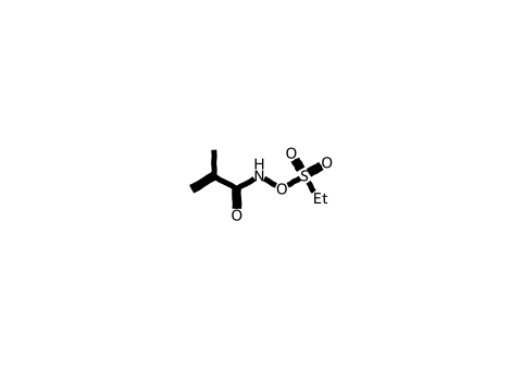 C=C(C)C(=O)NOS(=O)(=O)CC